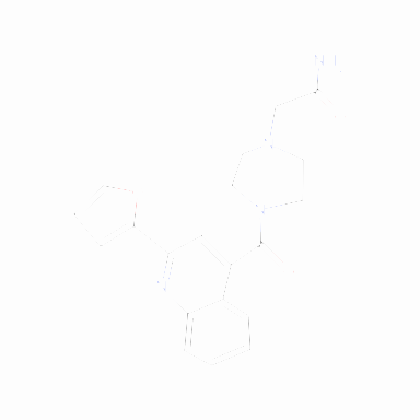 NC(=O)CN1CCN(C(=O)c2cc(-c3ccco3)nc3ccccc23)CC1